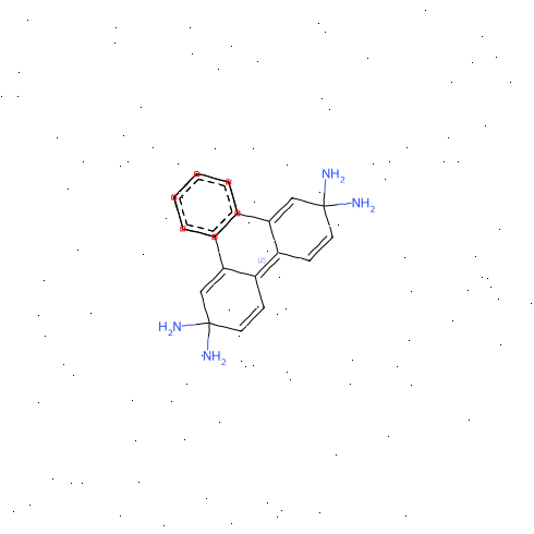 NC1(N)C=C/C(=C2\C=CC(N)(N)C=C2c2ccccc2)C(c2ccccc2)=C1